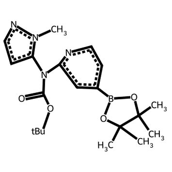 Cn1nccc1N(C(=O)OC(C)(C)C)c1cc(B2OC(C)(C)C(C)(C)O2)ccn1